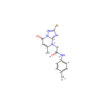 CCc1cc(=O)n2nc(Br)nc2n1CC(=O)Nc1ccc(C(F)(F)F)cc1